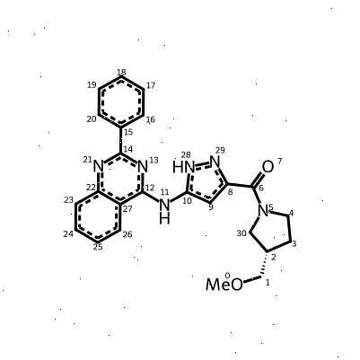 COC[C@H]1CCN(C(=O)c2cc(Nc3nc(-c4ccccc4)nc4ccccc34)[nH]n2)C1